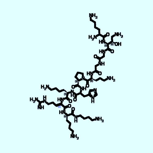 N=C(N)NCC/C=C(\NC(=O)[C@H](CCCCN)NC(=O)C(Cc1cnc[nH]1)NC(=O)[C@@H]1CCCN1C(=O)[C@@H](CCCN)NC(=O)CNC(=O)CNC(=O)[C@@H](NC(=O)C(N)CCCCN)[C@@H](O)CN)C(=O)N[C@@H](CCCCN)C(=O)NCCCCN